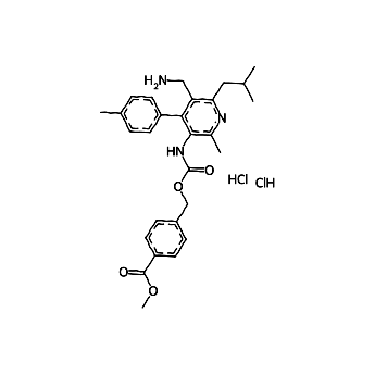 COC(=O)c1ccc(COC(=O)Nc2c(C)nc(CC(C)C)c(CN)c2-c2ccc(C)cc2)cc1.Cl.Cl